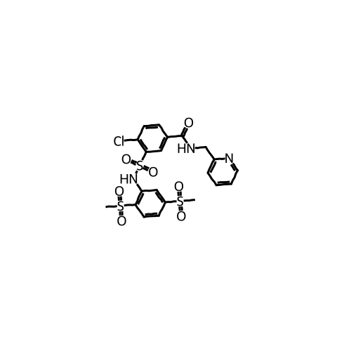 CS(=O)(=O)c1ccc(S(C)(=O)=O)c(NS(=O)(=O)c2cc(C(=O)NCc3ccccn3)ccc2Cl)c1